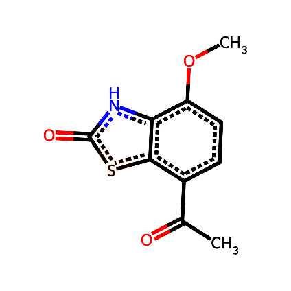 COc1ccc(C(C)=O)c2sc(=O)[nH]c12